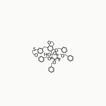 OC1(c2cc(Cc3ccc4c(c3)SCCO4)c3c(c2OCc2ccccc2)CCO3)O[C@H](COCc2ccccc2)[C@@H](F)[C@H](OCc2ccccc2)[C@H]1OCc1ccccc1